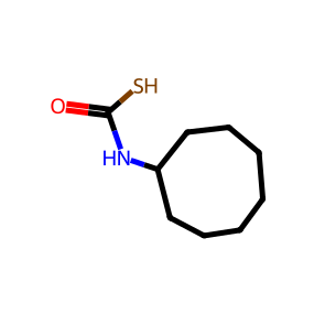 O=C(S)NC1CCCCCCC1